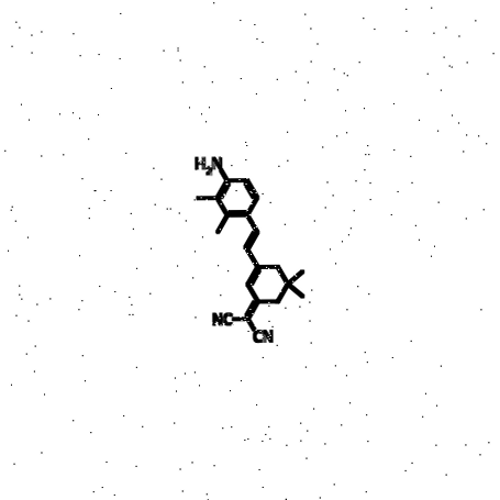 Cc1c(N)ccc(C=CC2=CC(=C(C#N)C#N)CC(C)(C)C2)c1C